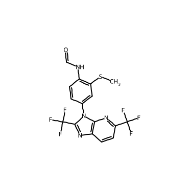 CSc1cc(-n2c(C(F)(F)F)nc3ccc(C(F)(F)F)nc32)ccc1NC=O